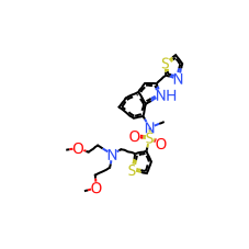 COCCN(CCOC)Cc1sccc1S(=O)(=O)N(C)c1cccc2cc(-c3nccs3)[nH]c12